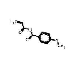 C=CC(=O)OC(Cl)c1ccc(OC)cc1